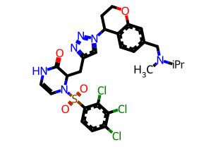 CC(C)N(C)Cc1ccc2c(c1)OCCC2n1cc(CC2C(=O)NC=CN2S(=O)(=O)c2ccc(Cl)c(Cl)c2Cl)nn1